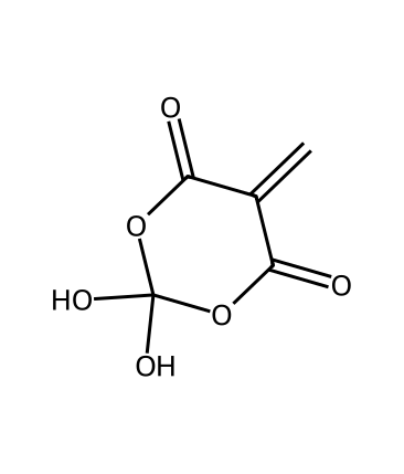 C=C1C(=O)OC(O)(O)OC1=O